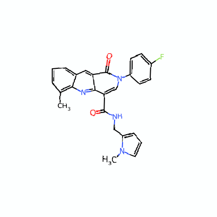 Cc1cccc2cc3c(=O)n(-c4ccc(F)cc4)cc(C(=O)NCc4cccn4C)c3nc12